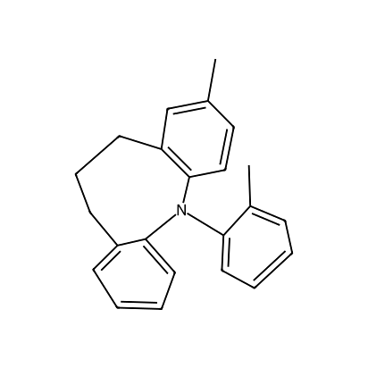 Cc1ccc2c(c1)CCCc1ccccc1N2c1ccccc1C